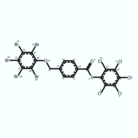 O=C(Sc1c(Cl)c(Cl)c(Cl)c(Cl)c1Cl)c1ccc(COc2c(Br)c(Br)c(Br)c(Br)c2Br)cc1